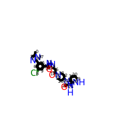 Cc1cnc(-c2cc(Cl)cc(-c3nnc(CC(=O)N4CCC(n5c6c([nH]c5=O)NCC=C6)CC4)o3)c2)n1C